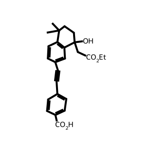 CCOC(=O)CC1(O)CCC(C)(C)c2ccc(C#Cc3ccc(C(=O)O)cc3)cc21